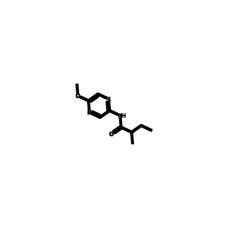 CCC(C)C(=O)Nc1cnc(OC)cn1